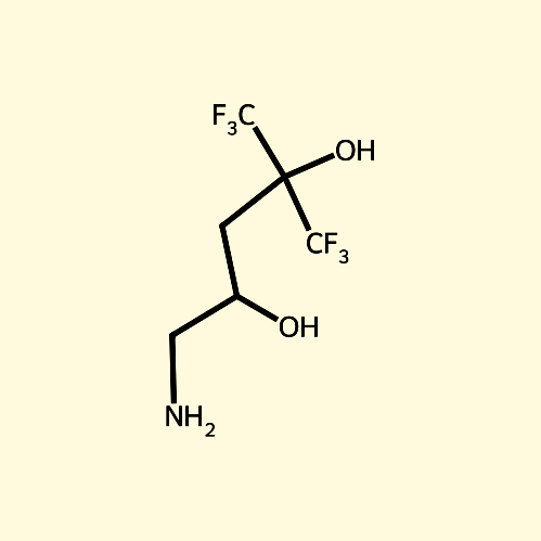 NCC(O)CC(O)(C(F)(F)F)C(F)(F)F